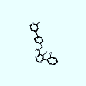 Cc1cc(-c2ccc(CNc3ncnc(-c4ccccc4Cl)c3F)cc2)ccn1